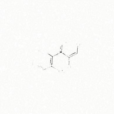 C=C/C(C#N)=C(\C)C(=C)/C(C)=C\C